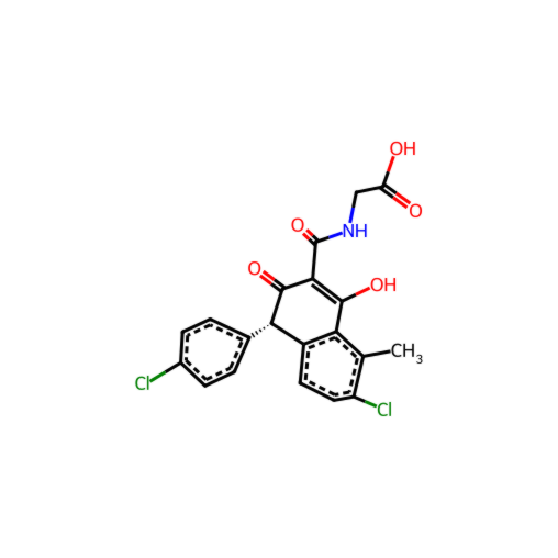 Cc1c(Cl)ccc2c1C(O)=C(C(=O)NCC(=O)O)C(=O)[C@H]2c1ccc(Cl)cc1